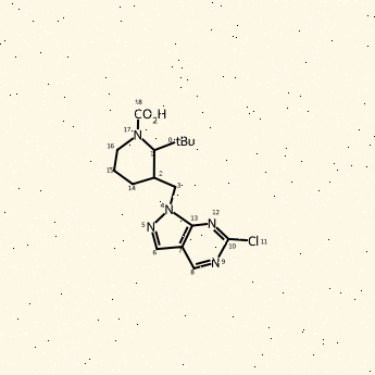 CC(C)(C)C1C(Cn2ncc3cnc(Cl)nc32)CCCN1C(=O)O